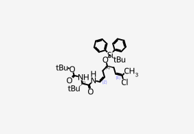 C/C(Cl)=C\C[C@@H](C/C=C\NC(=O)[C@@H](NC(=O)OC(C)(C)C)C(C)(C)C)O[Si](c1ccccc1)(c1ccccc1)C(C)(C)C